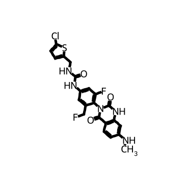 CNc1ccc2c(=O)n(-c3c(F)cc(NC(=O)NCc4ccc(Cl)s4)cc3CF)c(=O)[nH]c2c1